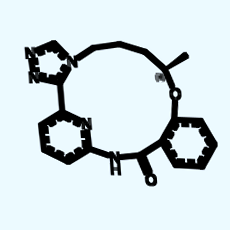 C[C@@H]1CCCn2cnnc2-c2cccc(n2)NC(=O)c2ccccc2O1